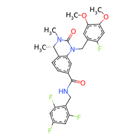 COc1cc(F)c(CN2C(=O)N(C)[C@@H](C)c3ccc(C(=O)NCc4c(F)cc(F)cc4F)cc32)cc1OC